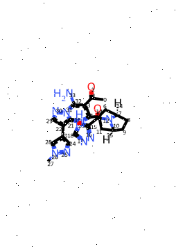 CC(=O)c1c(C2C[C@H]3CC[C@@H](C2)N3C(=O)c2nnc[nH]2)nc2c(-c3cnn(C)c3)cnn2c1N